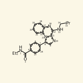 CCNC(=O)c1ccc(-c2cnc3c(NCC(C)C)nc4ccccc4n23)cc1